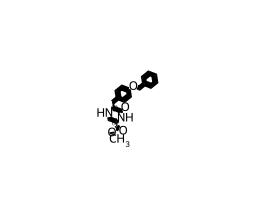 COC(=O)[C@@H]1CN[C@@H](Cc2ccc(OCc3ccccc3)cc2)C(=O)N1